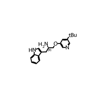 CC(C)(C)c1cncc(OC[C@H](N)Cc2c[nH]c3ccccc23)c1